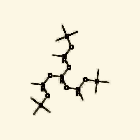 C[SiH](O[SiH](O[SiH](C)O[Si](C)(C)C)O[SiH](C)O[Si](C)(C)C)O[Si](C)(C)C